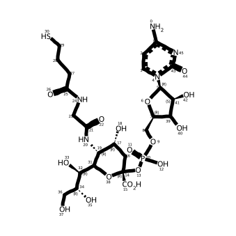 Nc1ccn([C@@H]2O[C@H](COP(=O)(O)O[C@@]3(C(=O)O)C[C@@H](O)[C@@H](NC(=O)CNC(=O)CCCS)C([C@H](O)[C@H](O)CO)O3)C(O)[C@@H]2O)c(=O)n1